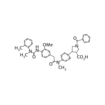 COc1cc(CC(=O)N(C)c2ccc(C3CN(C(=O)c4ccccc4)CC3C(=O)O)cc2)ccc1NC(=O)N(C)c1ccccc1C